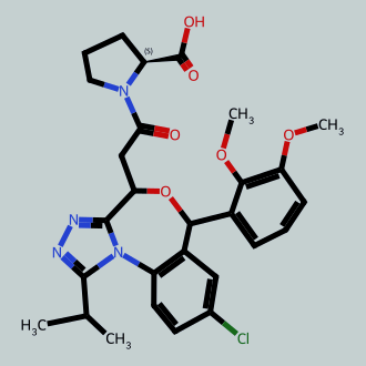 COc1cccc(C2OC(CC(=O)N3CCC[C@H]3C(=O)O)c3nnc(C(C)C)n3-c3ccc(Cl)cc32)c1OC